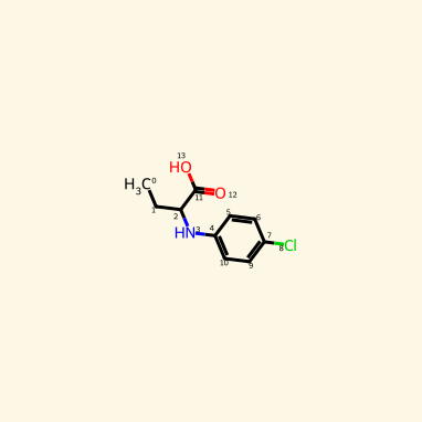 CCC(Nc1ccc(Cl)cc1)C(=O)O